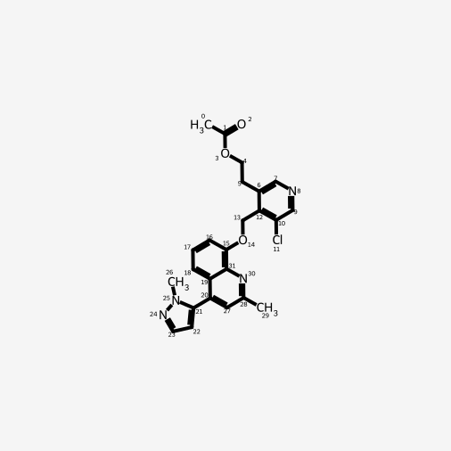 CC(=O)OCCc1cncc(Cl)c1COc1cccc2c(-c3ccnn3C)cc(C)nc12